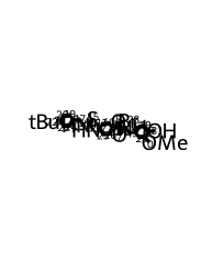 COc1cc(CNS(=O)(=O)c2ccc(NC(=S)NCc3ccc(C(C)(C)C)cc3)cc2)c(Br)cc1O